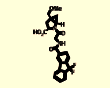 COC[C@@]12C[C@@H]1N(C(=O)CNC(=O)c1ccc3c(c1)-c1ccccc1C3(F)F)[C@H](C(=O)O)C2